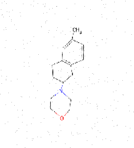 Cc1ccc2c(c1)CCC(N1CCOCC1)C2